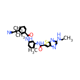 CCNc1cnc2cc(C(=O)Nc3cc(NC(=O)c4cccc(C(C)(C)C#N)c4)ccc3C)sc2n1